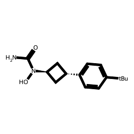 CC(C)(C)c1ccc([C@H]2C[C@H](N(O)C(N)=O)C2)cc1